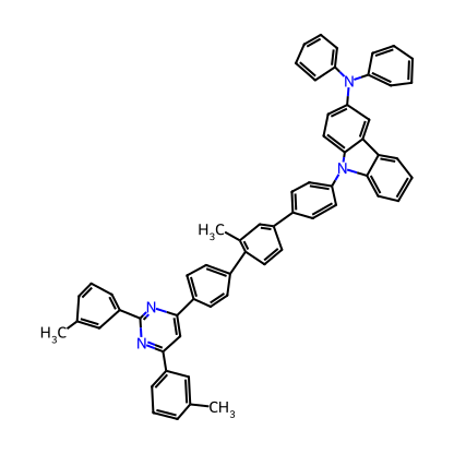 Cc1cccc(-c2cc(-c3ccc(-c4ccc(-c5ccc(-n6c7ccccc7c7cc(N(c8ccccc8)c8ccccc8)ccc76)cc5)cc4C)cc3)nc(-c3cccc(C)c3)n2)c1